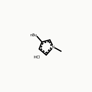 CCCCc1ccn(C)c1.Cl